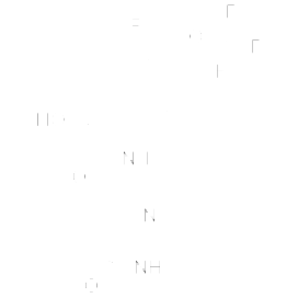 CC(C)(O)C(NC(=O)c1cc(=O)[nH]c(C2=CCCC2)n1)c1ccc(OC(F)(F)F)c(F)c1